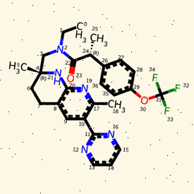 CCN(C[C@@]1(C)CCc2cc(-c3ncccn3)c(C)nc2N1)C(=O)[C@H](C)c1ccc(OC(F)(F)F)cc1